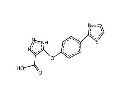 O=C(O)c1nn[nH]c1Oc1ccc(-c2nccs2)cc1